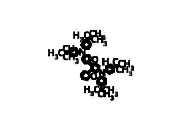 CC(C)(C)c1ccc(N(c2ccc(C(C)(C)C)cc2)c2ccc3c(c2)oc2cc(N(c4ccc(C(C)(C)C)cc4)c4ccc(C(C)(C)C)cc4)c4c(c23)C2C=CC=CC2O4)cc1